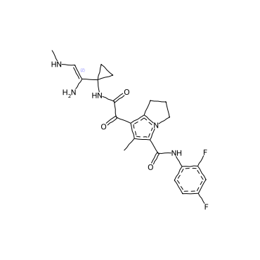 CN/C=C(\N)C1(NC(=O)C(=O)c2c(C)c(C(=O)Nc3ccc(F)cc3F)n3c2CCC3)CC1